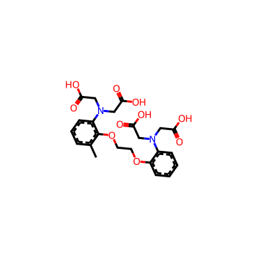 Cc1cccc(N(CC(=O)O)CC(=O)O)c1OCCOc1ccccc1N(CC(=O)O)CC(=O)O